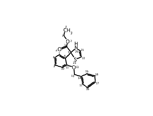 CCOC(=O)C1(c2ccccc2OCc2ccccc2)NC=CS1